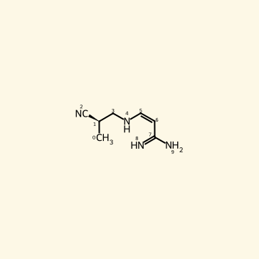 C[C@@H](C#N)CN/C=C\C(=N)N